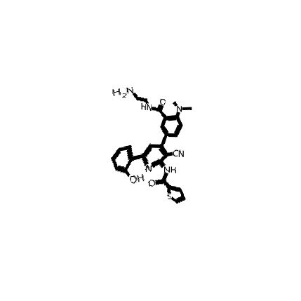 CN(C)c1ccc(-c2cc(-c3ccccc3O)nc(NC(=O)c3cccs3)c2C#N)cc1C(=O)NCCN